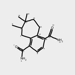 CC1Cc2c(C(N)=O)ccc(C(N)=O)c2CCC1(C)C